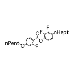 CCCCCCCc1ccc(OC(=O)c2ccc(OCCCCC)cc2F)c(F)c1F